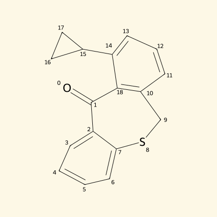 O=C1c2ccccc2SCc2cccc(C3CC3)c21